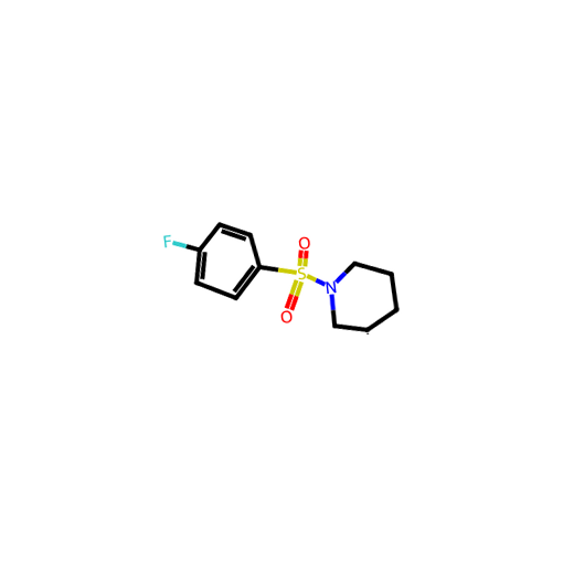 O=S(=O)(c1ccc(F)cc1)N1C[CH]CCC1